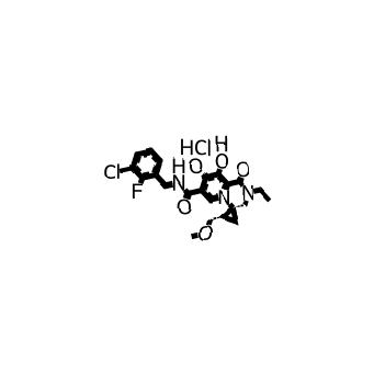 CCN1C[C@@]2(C[C@@H]2COC)n2cc(C(=O)NCc3cccc(Cl)c3F)c(=O)c(O)c2C1=O.Cl